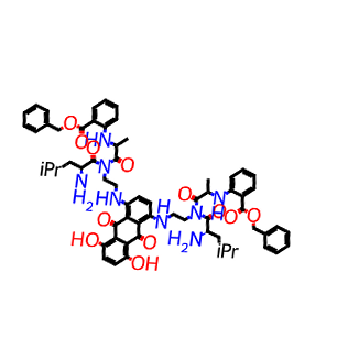 CC(C)C[C@H](N)C(=O)N(CCNc1ccc(NCCN(C(=O)C(C)Nc2ccccc2C(=O)OCc2ccccc2)C(=O)[C@@H](N)CC(C)C)c2c1C(=O)c1c(O)ccc(O)c1C2=O)C(=O)C(C)Nc1ccccc1C(=O)OCc1ccccc1